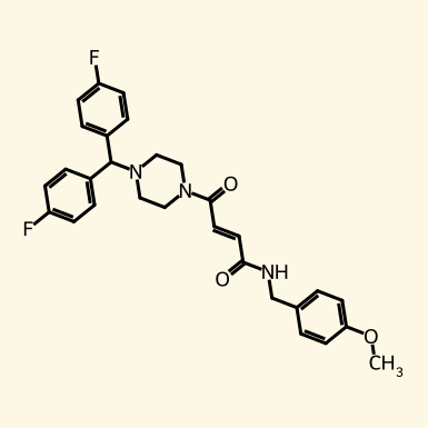 COc1ccc(CNC(=O)C=CC(=O)N2CCN(C(c3ccc(F)cc3)c3ccc(F)cc3)CC2)cc1